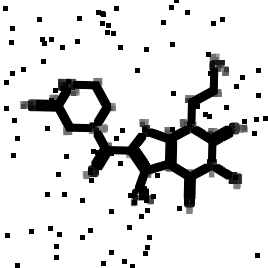 CCn1c(=O)c2c(C)c(C(=O)N3CCNC(=O)C3)sc2n(CCC(F)(F)F)c1=O